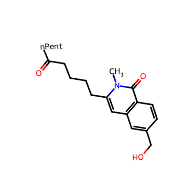 CCCCCC(=O)CCCCc1cc2cc(CO)ccc2c(=O)n1C